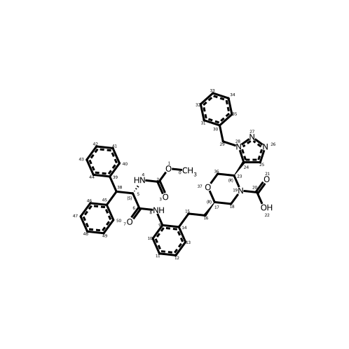 COC(=O)N[C@H](C(=O)Nc1ccccc1CC[C@@H]1CN(C(=O)O)[C@H](c2cnnn2Cc2ccccc2)CO1)C(c1ccccc1)c1ccccc1